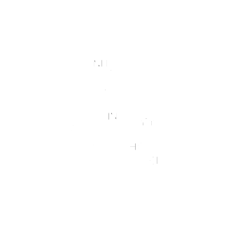 CCCNC(N)(Cc1ccccc1)c1ccccc1.Cl.Cl